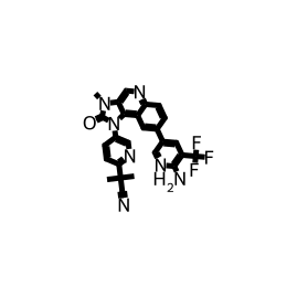 Cn1c(=O)n(-c2ccc(C(C)(C)C#N)nc2)c2c3cc(-c4cnc(N)c(C(F)(F)F)c4)ccc3ncc21